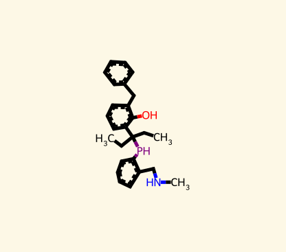 CCC(CC)(Pc1ccccc1CNC)c1cccc(Cc2ccccc2)c1O